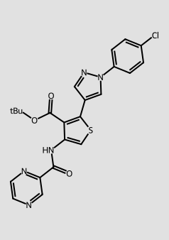 CC(C)(C)OC(=O)c1c(NC(=O)c2cnccn2)csc1-c1cnn(-c2ccc(Cl)cc2)c1